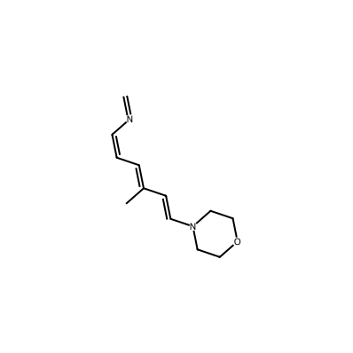 C=N\C=C/C=C(C)/C=C/N1CCOCC1